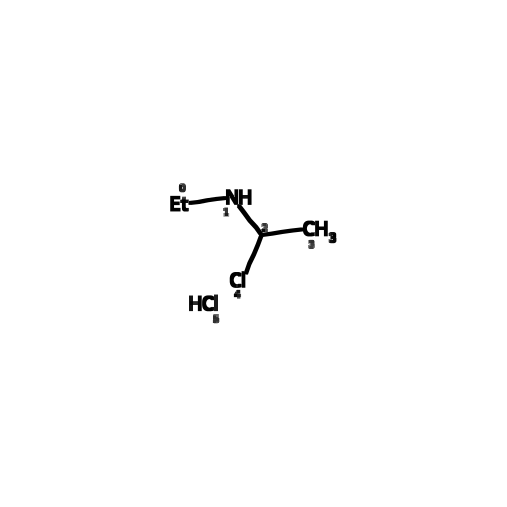 CCNC(C)Cl.Cl